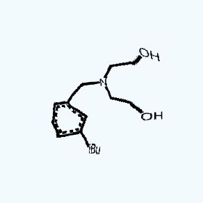 CCC(C)c1cccc(CN(CCO)CCO)c1